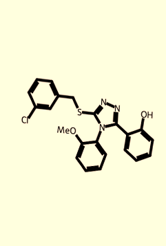 COc1ccccc1-n1c(SCc2cccc(Cl)c2)nnc1-c1ccccc1O